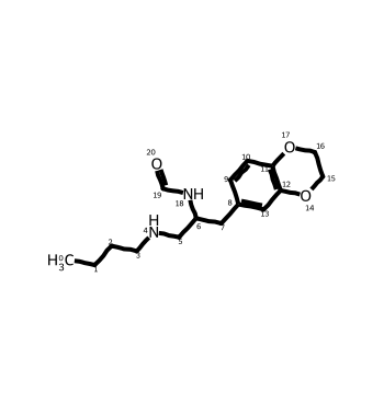 CCCCNCC(Cc1ccc2c(c1)OCCO2)NC=O